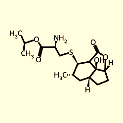 CC(C)OC(=O)[C@@H](N)CS[C@H]1C2C(=O)O[C@@H]3CC[C@H](C[C@@H]1C)[C@]23O